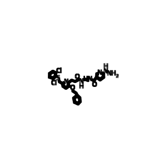 NNc1ccc(C(=O)NCCNC(=O)CCc2nc(CSc3c(Cl)cccc3Cl)ccc2OCCc2ccccc2)cn1